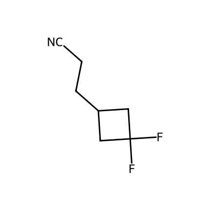 N#CCCC1CC(F)(F)C1